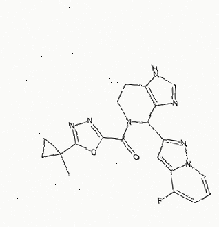 CC1(c2nnc(C(=O)N3CCc4[nH]cnc4C3c3cc4c(F)cccn4n3)o2)CC1